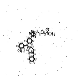 O=C(O)COCCn1nnc(-c2ccc([C@H](c3cccc(O)c3)N3CCN(Cc4ccccc4)CC3)cc2)n1